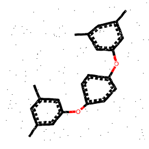 Cc1cc(C)cc(Oc2ccc(Oc3cc(C)cc(C)c3)cc2)c1